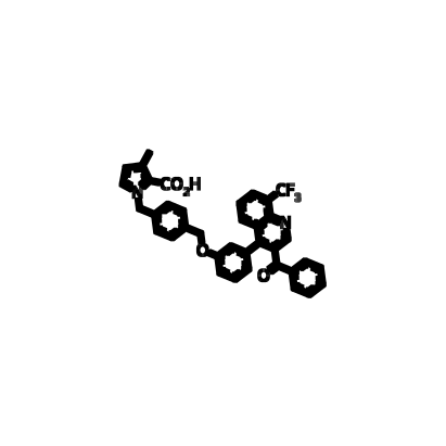 Cc1ccn(Cc2ccc(COc3cccc(-c4c(C(=O)c5ccccc5)cnc5c(C(F)(F)F)cccc45)c3)cc2)c1C(=O)O